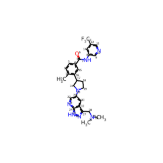 Cc1ccc(C(=O)Nc2cncc(C(F)(F)F)c2)cc1C1CCN(c2cnc3[nH]nc(CN(C)C)c3c2)C1